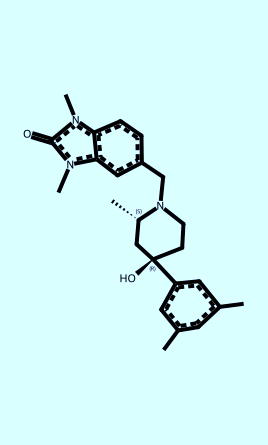 Cc1cc(C)cc([C@@]2(O)CCN(Cc3ccc4c(c3)n(C)c(=O)n4C)[C@@H](C)C2)c1